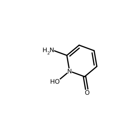 Nc1cccc(=O)n1O